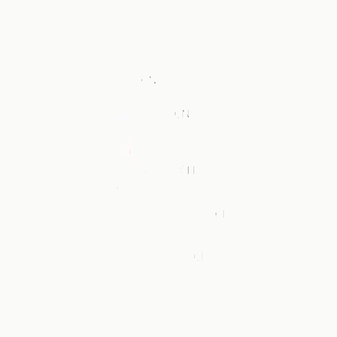 CC1=C(C#N)/C(=C\C#N)OC1(C)C1C=CC(Cl)=C(C(F)(F)F)C1